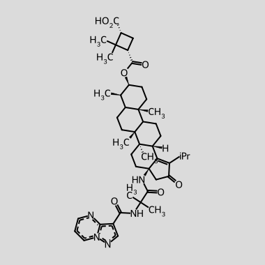 CC(C)C1=C2[C@H]3CCC4[C@@]5(C)CC[C@H](OC(=O)[C@H]6C[C@@H](C(=O)O)C6(C)C)[C@H](C)C5CC[C@@]4(C)[C@]3(C)CC[C@@]2(NC(=O)C(C)(C)NC(=O)c2cnn3cccnc23)CC1=O